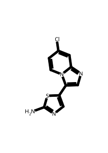 Nc1ncc(-c2cnc3cc(Cl)ccn23)s1